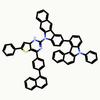 C1=C(c2ccccc2)SC2=C(c3ccc(-c4cccc5ccccc45)cc3)N=C(n3c4ccc(-c5cccc6c5c5c7ccccc7ccc5n6-c5ccccc5)cc4c4cc5ccccc5cc43)NC12